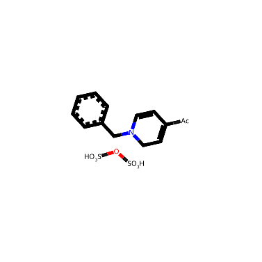 CC(=O)C1=CCN(Cc2ccccc2)C=C1.O=S(=O)(O)OS(=O)(=O)O